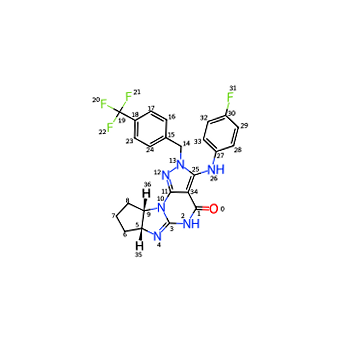 O=C1NC2=N[C@@H]3CCC[C@@H]3N2c2nn(Cc3ccc(C(F)(F)F)cc3)c(Nc3ccc(F)cc3)c21